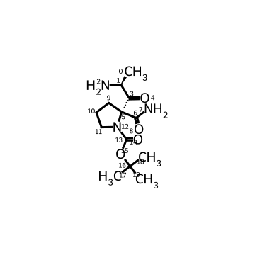 C[C@H](N)C(=O)[C@@]1(C(N)=O)CCCN1C(=O)OC(C)(C)C